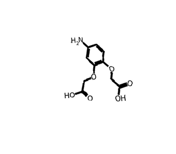 Nc1ccc(OCC(=O)O)c(OCC(=O)O)c1